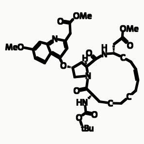 COC(=O)Cc1cc(O[C@@H]2C[C@H]3C(=O)N[C@H](CC(=O)OC)CCC=CCCCCC[C@H](NC(=O)OC(C)(C)C)C(=O)N3C2)c2ccc(OC)cc2n1